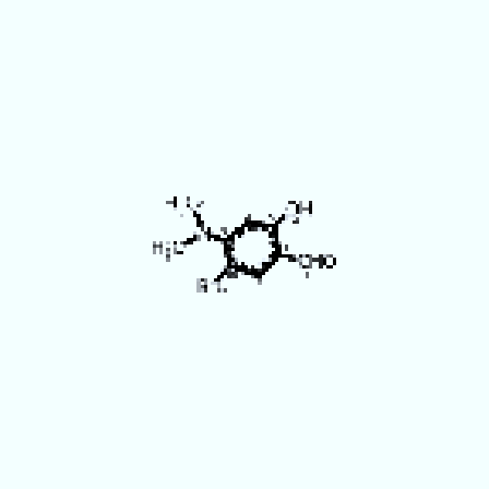 CN(C)c1cc(O)c(C=O)cc1Br